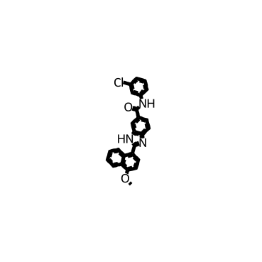 COc1ccc(-c2nc3ccc(C(=O)Nc4cccc(Cl)c4)cc3[nH]2)c2ccccc12